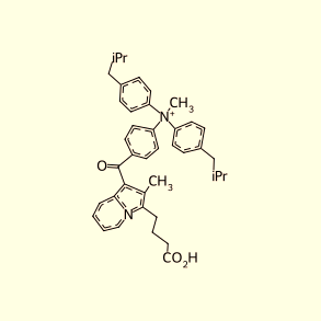 Cc1c(C(=O)c2ccc([N+](C)(c3ccc(CC(C)C)cc3)c3ccc(CC(C)C)cc3)cc2)c2ccccn2c1CCCC(=O)O